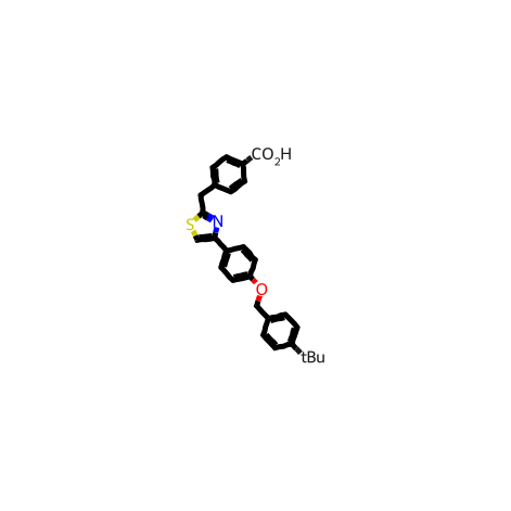 CC(C)(C)c1ccc(COc2ccc(-c3csc(Cc4ccc(C(=O)O)cc4)n3)cc2)cc1